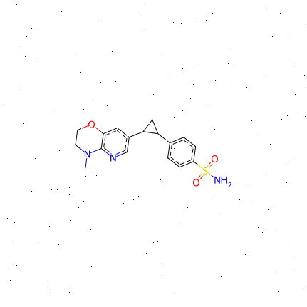 CN1CCOc2cc(C3CC3c3ccc(S(N)(=O)=O)cc3)cnc21